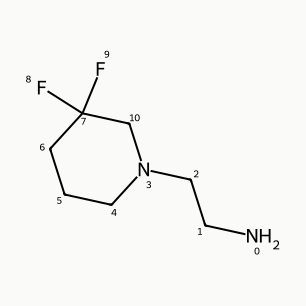 NCCN1CCCC(F)(F)C1